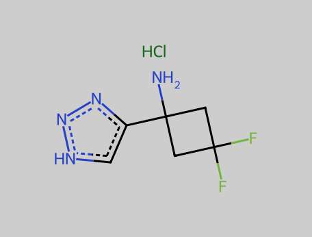 Cl.NC1(c2c[nH]nn2)CC(F)(F)C1